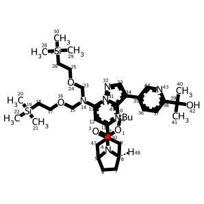 CC(C)(C)OC(=O)N1C2CC[C@@H]1CC(c1cc(N(COCC[Si](C)(C)C)COCC[Si](C)(C)C)n3ncc(-c4ccc(C(C)(C)O)nc4)c3n1)C2